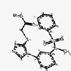 COC(=O)CSc1nncn1-c1cccc(N(C)S(=O)(=O)c2ccccc2)c1